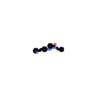 O=C(NCCC1CCCC1)c1cccc(Nc2ccc(/C=C/c3ccccn3)cc2)c1